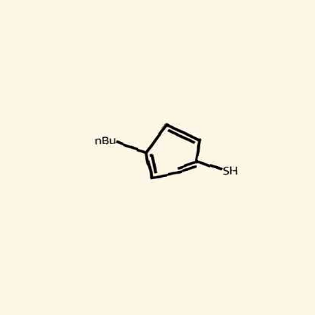 CCCCc1ccc(S)cc1